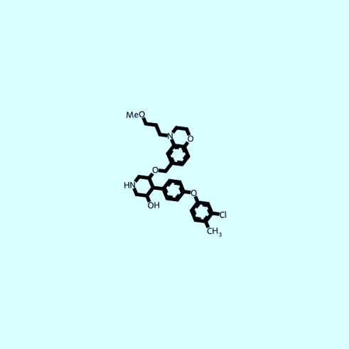 COCCCN1CCOc2ccc(COC3CNCC(O)C3c3ccc(Oc4ccc(C)c(Cl)c4)cc3)cc21